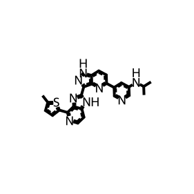 Cc1ccc(-c2nccc3[nH]c(-c4n[nH]c5ccc(-c6cncc(NC(C)C)c6)nc45)nc23)s1